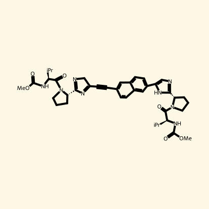 COC(=O)N[C@H](C(=O)N1CCC[C@H]1C1=NCC(C#Cc2ccc3cc(-c4cnc([C@@H]5CCCN5C(=O)[C@@H](NC(=O)OC)C(C)C)[nH]4)ccc3c2)=N1)C(C)C